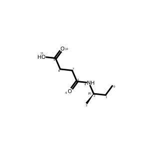 CC[C@@H](C)NC(=O)CCC(=O)O